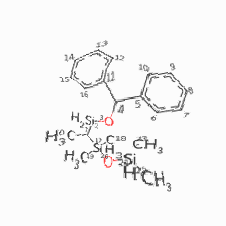 CC([SiH2]OC(c1ccccc1)c1ccccc1)[Si](C)(C)O[SiH](C)C